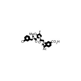 CO[C@H]1[C@@H](C(=O)N(F)Cc2cccc(Cl)c2)N(C(=O)Cn2nc(C(C)=O)c3ccc(C(=O)O)cc32)C[C@@H]1F